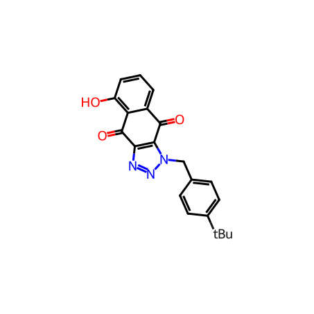 CC(C)(C)c1ccc(Cn2nnc3c2C(=O)c2cccc(O)c2C3=O)cc1